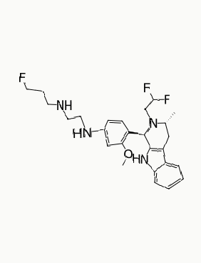 COc1cc(NCCNCCCF)ccc1[C@@H]1c2[nH]c3ccccc3c2C[C@@H](C)N1CC(F)F